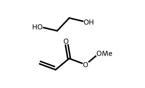 C=CC(=O)OOC.OCCO